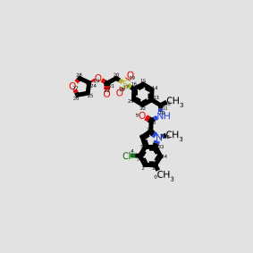 Cc1cc(Cl)c2cc(C(=O)NC(C)c3ccc(S(=O)(=O)CC(=O)O[C@H]4CCOC4)cc3)n(C)c2c1